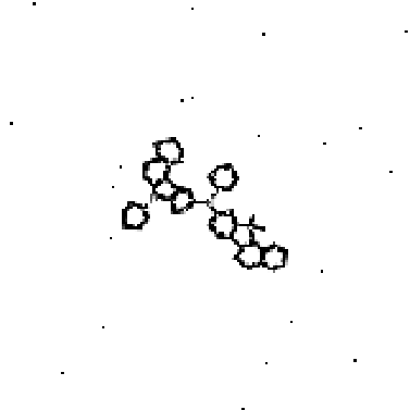 CC1(C)c2cc(N(c3ccccc3)c3ccc4c(c3)c3c5ccccc5ccc3n4-c3ccccc3)ccc2-c2ccc3ccccc3c21